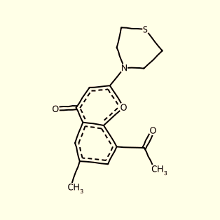 CC(=O)c1cc(C)cc2c(=O)cc(N3CCSCC3)oc12